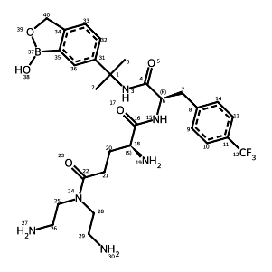 CC(C)(NC(=O)[C@@H](Cc1ccc(C(F)(F)F)cc1)NC(=O)[C@@H](N)CCC(=O)N(CCN)CCN)c1ccc2c(c1)B(O)OC2